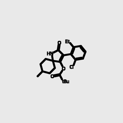 CCc1cccc(Cl)c1C1=C(OC(=O)C(C)(C)C)C2(CCC(C)CC2)NC1=O